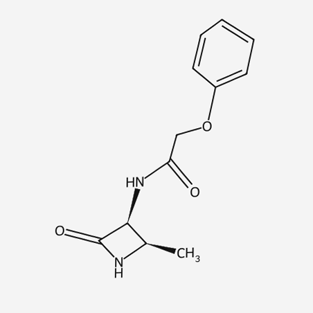 C[C@H]1NC(=O)[C@H]1NC(=O)COc1ccccc1